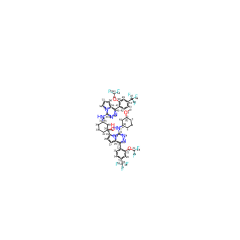 CO[C@H]1CCC[C@@H](Nc2nnc(-c3ccc(C(F)(F)F)cc3OC(F)F)c3ccc([C@]4(O)CCC[C@@H](Nc5nnc(-c6ccc(C(F)(F)F)cc6OC(F)F)c6cccn56)C4)n23)C1